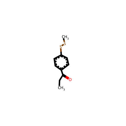 CCC(=O)c1ccc(SSC)cc1